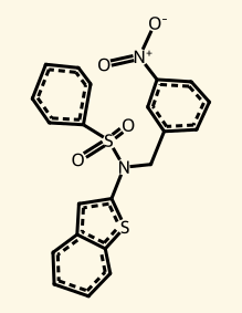 O=[N+]([O-])c1cccc(CN(c2cc3ccccc3s2)S(=O)(=O)c2ccccc2)c1